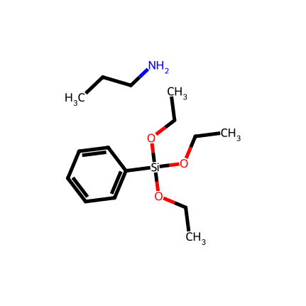 CCCN.CCO[Si](OCC)(OCC)c1ccccc1